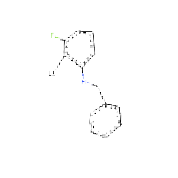 CCc1c(F)cccc1NCc1ccccc1